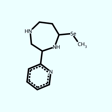 C[Se]C1CCNCC(c2ccccn2)N1